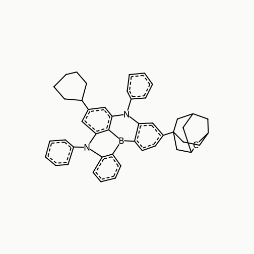 c1ccc(N2c3ccccc3B3c4ccc(C56CCC7CC(CC(C7)C5)C6)cc4N(c4ccccc4)c4cc(C5CCCCC5)cc2c43)cc1